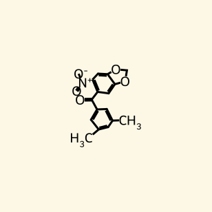 Cc1cc(C)cc(C(=O)c2cc3c(cc2[N+](=O)[O-])OCO3)c1